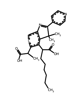 CCCCCCC(C(=O)O)c1c(C(C)C(=O)O)ccc2c1C(C)(C)C(c1ccncc1)=N2